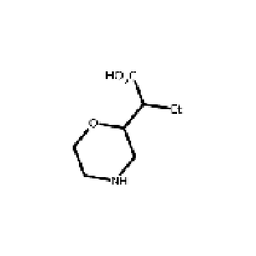 CCC(C(=O)O)C1CNCCO1